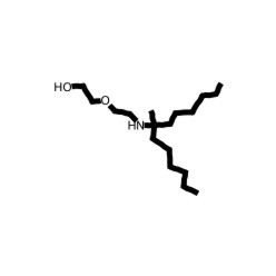 CCCCCCC(C)(CCCCCC)NCCOCCO